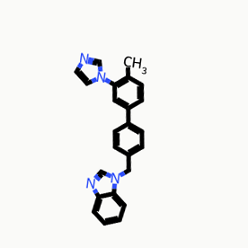 Cc1ccc(-c2ccc(Cn3cnc4ccccc43)cc2)cc1-n1ccnc1